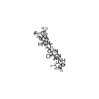 Cc1cc(Nc2nc3ncc(Oc4ccnc(NC(=O)CN(CCF)C(=O)OC(C)(C)C)c4)c(Cl)c3n2C)c(=O)n(C)c1